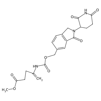 C=C(CCC(=O)OC)NC(=O)OCc1ccc2c(c1)C(=O)N(C1CCC(=O)NC1=O)C2